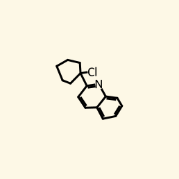 ClC1(c2ccc3ccccc3n2)CCCCC1